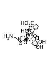 NCCCN1CCN(C(=O)NC(C(=O)N[C@H]2Cc3cccc(C(=O)O)c3OB2O)c2ccc(O)c(O)c2Cl)C(=O)C1=O